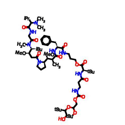 CC[C@@H](C)[C@H]([C@H](CC(=O)N1CCC[C@@H]1[C@@H](OC)[C@H](C)C(=O)N[C@H](Cc1ccccc1)C(=O)NCCCOC(=O)[C@H](NC(=O)CCNC(=O)OCC(OC(CO)C(C)(C)C)OC(C)(C)C)C(C)(C)C)OC)N(C)C(=O)CNC(=O)C(C(C)C)N(C)C